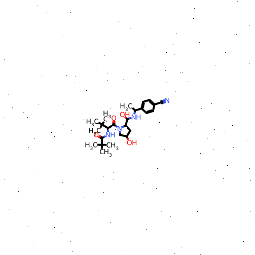 CC(NC(O)C1CC(O)CN1C(=O)C(NC(=O)C(C)(C)C)C(C)(C)C)c1ccc(C#N)cc1